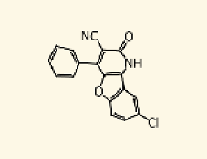 N#Cc1c(-c2ccccc2)c2oc3ccc(Cl)cc3c2[nH]c1=O